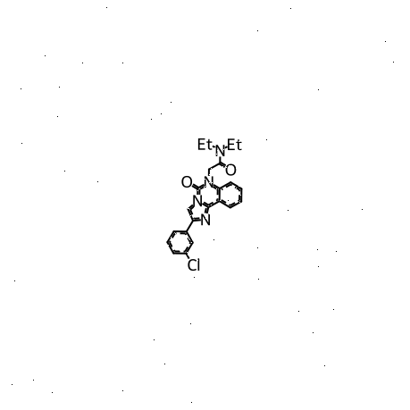 CCN(CC)C(=O)Cn1c(=O)n2cc(-c3cccc(Cl)c3)nc2c2ccccc21